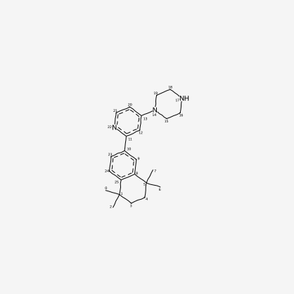 CC1(C)CCC(C)(C)c2cc(-c3cc(N4CCNCC4)ccn3)ccc21